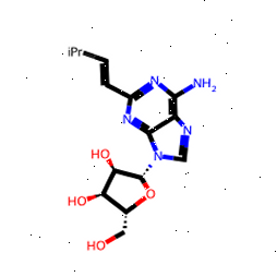 CC(C)C=Cc1nc(N)c2ncn([C@@H]3O[C@H](CO)[C@@H](O)[C@H]3O)c2n1